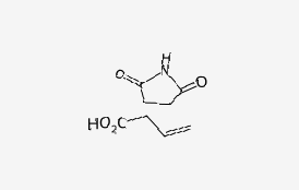 C=CCC(=O)O.O=C1CCC(=O)N1